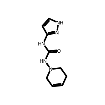 O=C(Nc1cc[nH]n1)NN1CC=CCC1